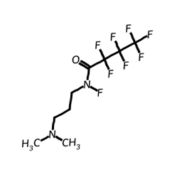 CN(C)CCCN(F)C(=O)C(F)(F)C(F)(F)C(F)(F)F